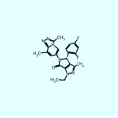 CCn1nc(C)c2c1C(=O)N(c1cc(C)c3nnc(C)n3c1)[C@H]2c1ccc(F)cc1F